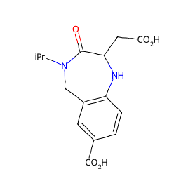 CC(C)N1Cc2cc(C(=O)O)ccc2NC(CC(=O)O)C1=O